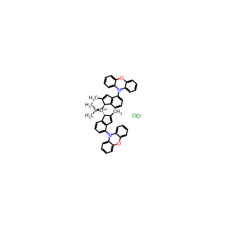 CC1=Cc2c(cccc2N2c3ccccc3Oc3ccccc32)[C@@H]1[Zr+2]([C@H]1C(C)=Cc2c1cccc2N1c2ccccc2Oc2ccccc21)=[Si](C)C.[Cl-].[Cl-]